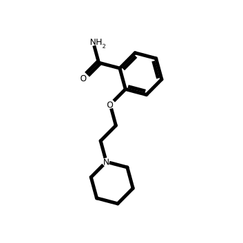 NC(=O)c1ccccc1OCCN1CCCCC1